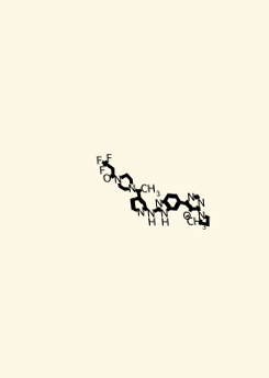 COc1c(-c2ccc3nc(Nc4cc(C(C)N5CCN(C(=O)CC(F)(F)F)CC5)ccn4)[nH]c3c2)ncnc1N1CCC1